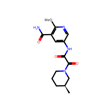 COc1ncc(NC(=O)C(=O)N2CCC[C@H](C)C2)cc1C(N)=O